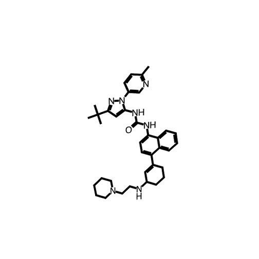 Cc1ccc(-n2nc(C(C)(C)C)cc2NC(=O)Nc2ccc(C3=CC(NCCN4CCCCC4)CCC3)c3ccccc23)cn1